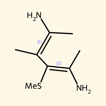 CSC(=C(/C)N)/C(C)=C(\C)N